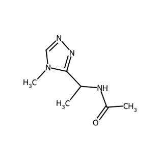 CC(=O)NC(C)c1nncn1C